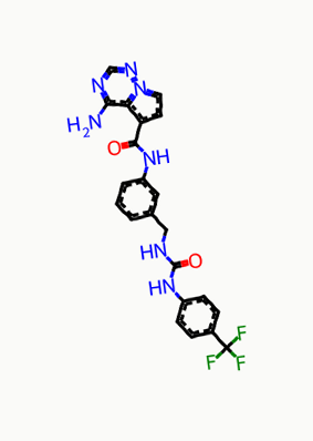 Nc1ncnn2ccc(C(=O)Nc3cccc(CNC(=O)Nc4ccc(C(F)(F)F)cc4)c3)c12